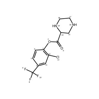 O=C(Oc1ccc(C(F)(F)F)cc1Cl)C1CNCCN1